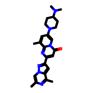 Cc1cn2nc(-c3cc(=O)n4cc(N5CCC(N(C)C)CC5)cc(C)c4n3)cc2c(C)n1